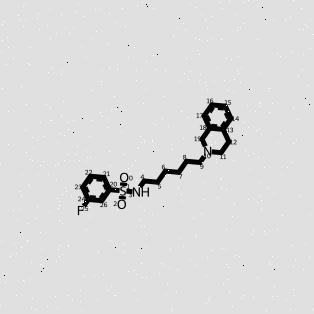 O=S(=O)(NCCCCCCN1CCc2ccccc2C1)c1cccc(F)c1